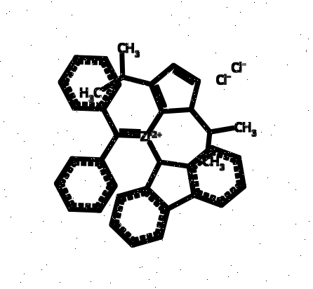 CC(C)C1=[C]([Zr+2](=[C](c2ccccc2)c2ccccc2)[CH]2c3ccccc3-c3ccccc32)C(C(C)C)C=C1.[Cl-].[Cl-]